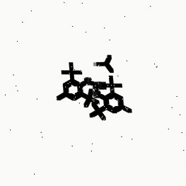 Cc1cc(C(C)(C)C)c([O][AlH][O]c2c(C(C)(C)C)cc(C)cc2C(C)(C)C)c(C(C)(C)C)c1.[CH2]C(C)C